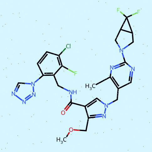 COCc1nn(Cc2cnc(N3CC4C(C3)C4(F)F)nc2C)cc1C(=O)NCc1c(-n2cnnn2)ccc(Cl)c1F